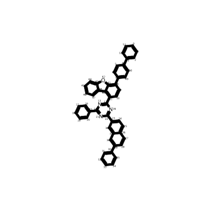 c1ccc(-c2ccc(-c3ccc(-c4nc(-c5ccccc5)nc(-c5ccc6ccc(-c7ccccc7)cc6c5)n4)c4c3oc3ccccc34)cc2)cc1